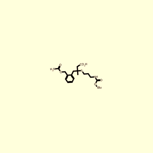 CC(C)(C)OC(=O)NCCCSC(C)(CC(=O)O)Cc1ccccc1COC(N)=O